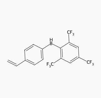 C=Cc1ccc(Bc2c(C(F)(F)F)cc(C(F)(F)F)cc2C(F)(F)F)cc1